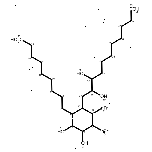 CCCC1C(O)C(O)C(CCCCCCCCC(=O)O)C(CC(O)C(O)CCCCCCCC(=O)O)C1CCC